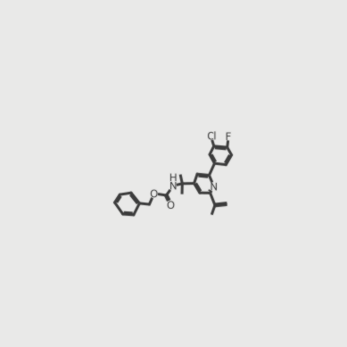 C=C(C)c1cc(C(C)(C)NC(=O)OCc2ccccc2)cc(-c2ccc(F)c(Cl)c2)n1